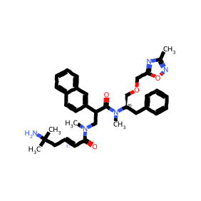 Cc1noc(COC[C@@H](Cc2ccccc2)N(C)C(=O)C(CN(C)C(=O)/C=C/CC(C)(C)N)c2ccc3ccccc3c2)n1